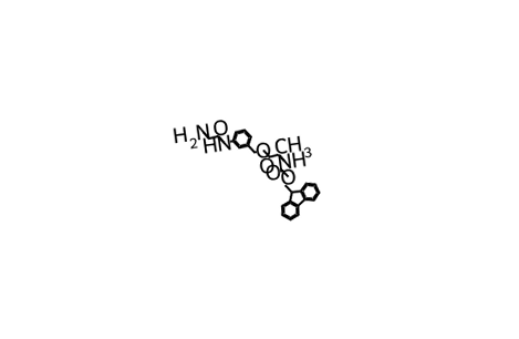 CC(NC(=O)OCC1c2ccccc2-c2ccccc21)C(=O)OCc1cccc(NC(=O)CN)c1